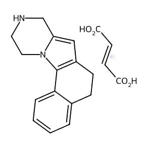 O=C(O)/C=C/C(=O)O.c1ccc2c(c1)CCc1cc3n(c1-2)CCNC3